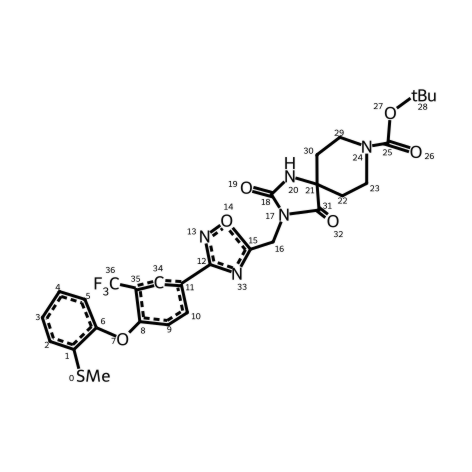 CSc1ccccc1Oc1ccc(-c2noc(CN3C(=O)NC4(CCN(C(=O)OC(C)(C)C)CC4)C3=O)n2)cc1C(F)(F)F